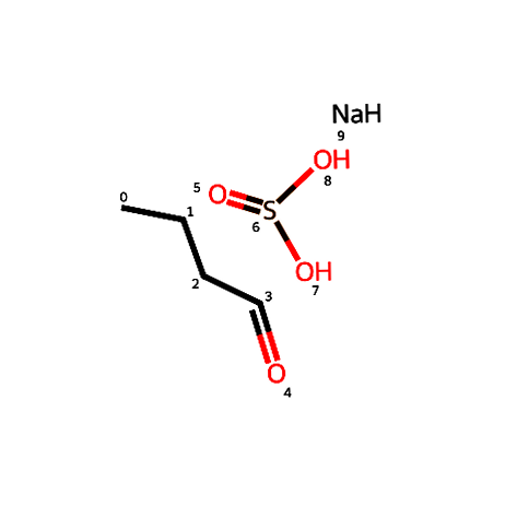 CCCC=O.O=S(O)O.[NaH]